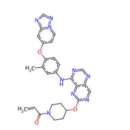 C=CC(=O)N1CCC(Oc2ncc3ncnc(Nc4ccc(Oc5ccn6ncnc6c5)c(C)c4)c3n2)CC1